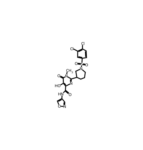 Cn1c(C2CCCN(S(=O)(=O)c3ccc(Cl)c(Cl)c3)C2)nc(C(=O)Nc2cnoc2)c(O)c1=O